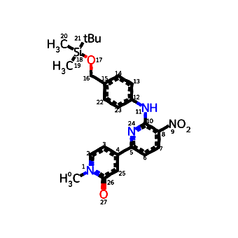 Cn1ccc(-c2ccc([N+](=O)[O-])c(Nc3ccc(CO[Si](C)(C)C(C)(C)C)cc3)n2)cc1=O